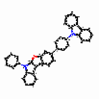 c1ccc(-n2c3ccccc3c3c4ccc(-c5ccc(-n6c7ccccc7c7ccccc76)cc5)cc4oc32)cc1